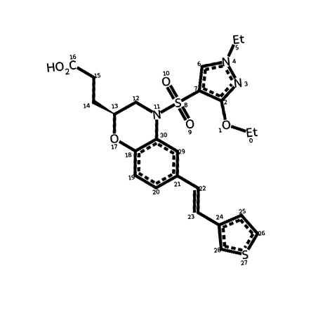 CCOc1nn(CC)cc1S(=O)(=O)N1C[C@H](CCC(=O)O)Oc2ccc(/C=C/c3ccsc3)cc21